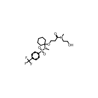 CN(CCO)C(=O)CCOC1(N(C)S(=O)(=O)c2ccc(C(F)(F)F)cc2)CCCCC1